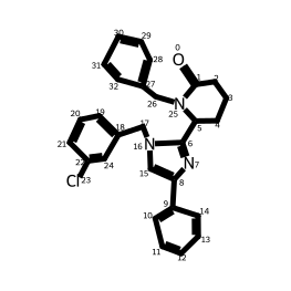 O=C1CCCC(c2nc(-c3ccccc3)cn2Cc2cccc(Cl)c2)N1Cc1ccccc1